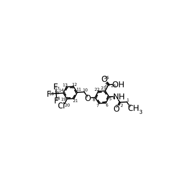 CCC(=O)Nc1ccc(OCc2ccc(C(F)(F)F)c(Cl)c2)cc1C(=O)O